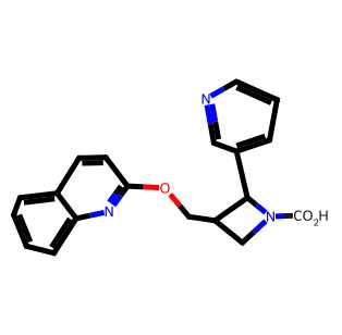 O=C(O)N1CC(COc2ccc3ccccc3n2)C1c1cccnc1